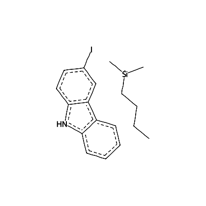 CCCC[Si](C)C.Ic1ccc2[nH]c3ccccc3c2c1